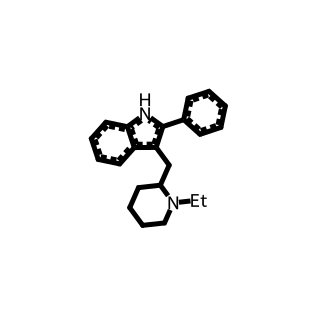 CCN1CCCCC1Cc1c(-c2ccccc2)[nH]c2ccccc12